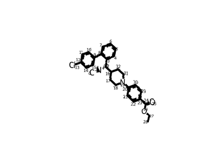 [C-]#[N+][C@H](c1ccccc1-c1ccc(Cl)cc1)C1CCN(c2ccc(C(=O)OCC)cc2)CC1